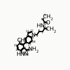 C=CC(=O)NC(=C)CCCn1ccc2cc(-c3c(C)ccc4[nH]nc(N)c34)ccc21